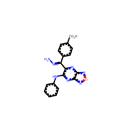 N/N=C(\c1ccc(C(=O)O)cc1)c1nc2nonc2nc1Nc1ccccc1